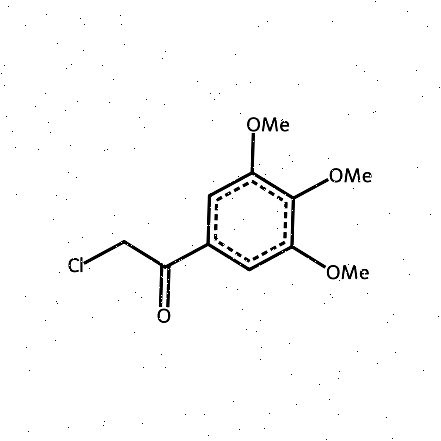 COc1cc(C(=O)CCl)cc(OC)c1OC